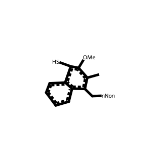 CCCCCCCCCCc1c(C)c(OC)c(S)c2ccccc12